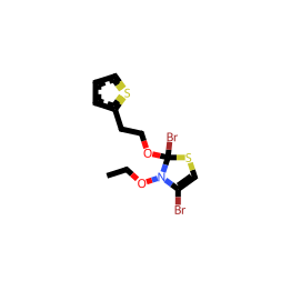 CCON1C(Br)=CSC1(Br)OCCc1cccs1